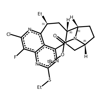 CCSc1nc2c3c(nc(Cl)c(F)c3n1)[C@@H](CC)C[C@@H]1[C@@H]3CC[C@H](CN21)N3C(=O)OC(C)(C)C